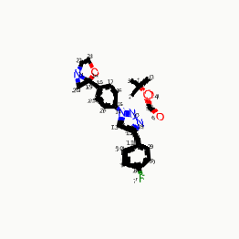 CC(C)(C)OC=O.Fc1ccc(-c2cn(-c3ccc(C45CN4CCO5)cc3)nn2)cc1